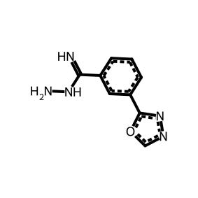 N=C(NN)c1cccc(-c2nnco2)c1